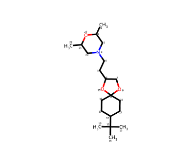 CC1CN(CCC2COC3(CCC(C(C)(C)C)CC3)O2)CC(C)O1